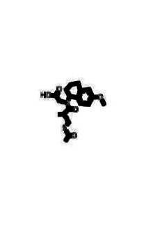 COc1ccc2c(c1)CCCC2N(CC(=O)O)C(=O)C(C)CSC(C)=O